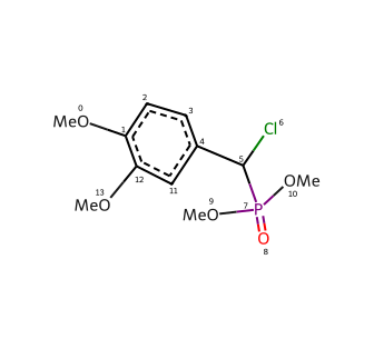 COc1ccc(C(Cl)P(=O)(OC)OC)cc1OC